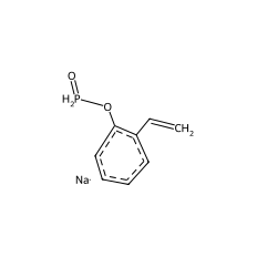 C=Cc1ccccc1O[PH2]=O.[Na]